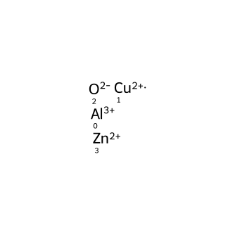 [Al+3].[Cu+2].[O-2].[Zn+2]